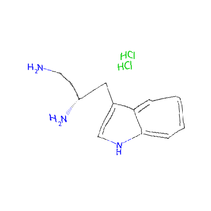 Cl.Cl.NC[C@@H](N)Cc1c[nH]c2ccccc12